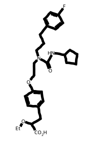 CCOC(Cc1ccc(OCCN(CCCc2ccc(F)cc2)C(=O)NC2CCCC2)cc1)C(=O)O